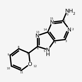 Nc1ncc2[nH]c(C3C=CC=CO3)nc2n1